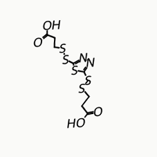 O=C(O)CCSSc1nnc(SSCCC(=O)O)s1